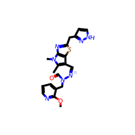 COc1ncccc1CN(C=O)/N=C\c1c(C)n(C)c2nc(Cc3cc[nH]n3)sc12